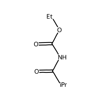 CCOC(=O)NC(=O)C(C)C